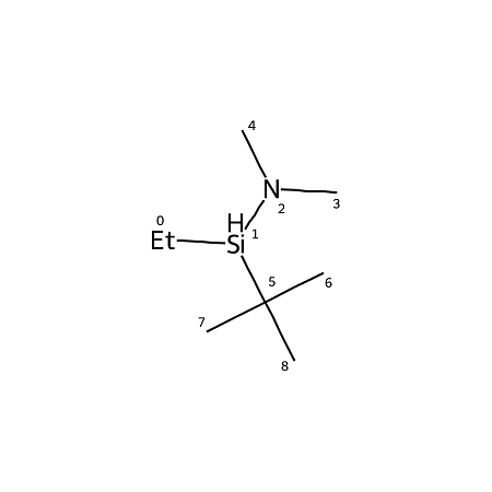 CC[SiH](N(C)C)C(C)(C)C